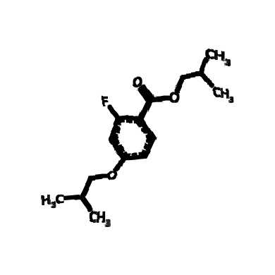 CC(C)COC(=O)c1ccc(OCC(C)C)cc1F